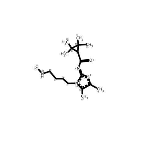 Cc1s/c(=N\C(=O)C2C(C)(C)C2(C)C)n(CCCCNC(C)C)c1C